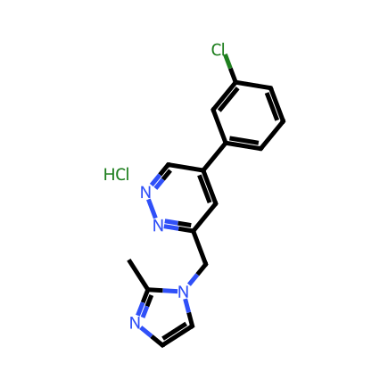 Cc1nccn1Cc1cc(-c2cccc(Cl)c2)cnn1.Cl